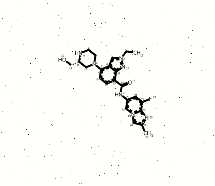 CCn1cc2c(N3CCN[C@@H](CO)C3)ccc(C(=O)Nc3cc(F)c4nc(C)cn4c3)c2n1